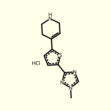 Cl.Cn1cnc(-c2ccc(C3=CCNCC3)s2)n1